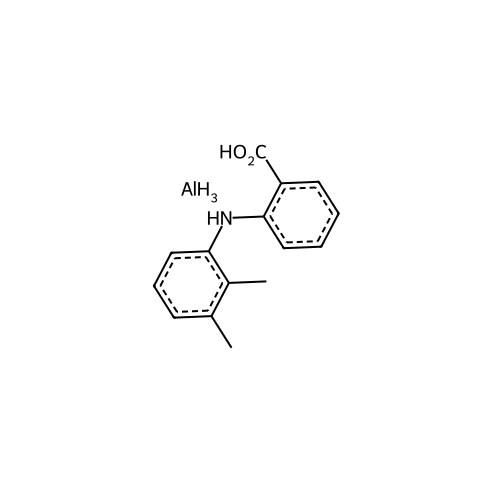 Cc1cccc(Nc2ccccc2C(=O)O)c1C.[AlH3]